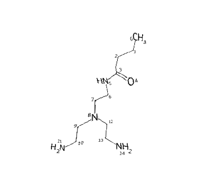 CCCC(=O)NCCN(CCN)CCN